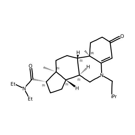 CCN(CC)C(=O)[C@H]1CC[C@H]2[C@@H]3CN(CC(C)C)C4=CC(=O)CC[C@]4(C)[C@H]3CC[C@]12C